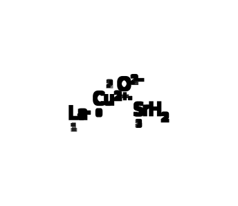 [Cu+2].[La].[O-2].[SrH2]